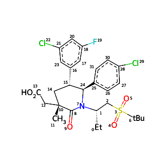 CC[C@@H](CS(=O)(=O)C(C)(C)C)N1C(=O)[C@](C)(CC(=O)O)C[C@H](c2cc(F)cc(Cl)c2)[C@H]1c1ccc(Cl)cc1